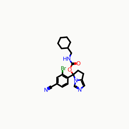 N#Cc1ccc(C2(OC(=O)NCC3CCCCC3)CCc3cncn32)c(Br)c1